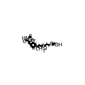 CN(CCOC(=O)CCOCCO)c1ccc(/C=C2\SC(=S)NC2=O)c(Br)c1